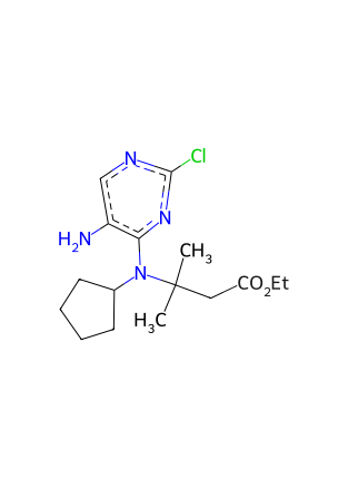 CCOC(=O)CC(C)(C)N(c1nc(Cl)ncc1N)C1CCCC1